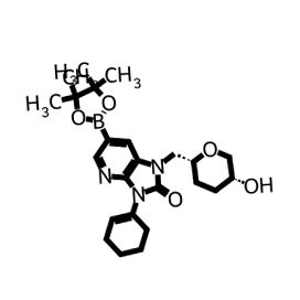 CC1(C)OB(c2cnc3c(c2)n(C[C@H]2CC[C@@H](O)CO2)c(=O)n3C2=CCCCC2)OC1(C)C